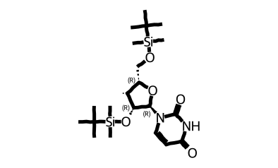 CC(C)(C)[Si](C)(C)OC[C@H]1[CH][C@@H](O[Si](C)(C)C(C)(C)C)[C@H](n2ccc(=O)[nH]c2=O)O1